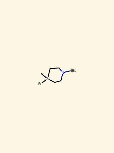 CC(C)[Si]1(C)CCN(C(C)(C)C)CC1